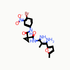 C/C(C(=N)NC(=O)C1(C(=O)Nc2ccc(Br)c([N+](=O)[O-])c2)CC1)=C(/N)c1ccc(C)o1